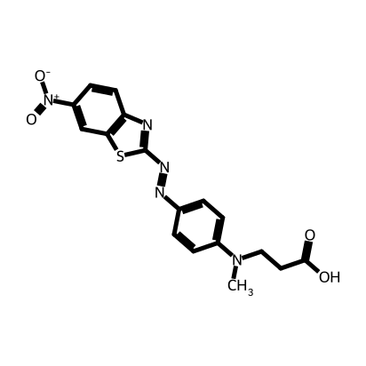 CN(CCC(=O)O)c1ccc(N=Nc2nc3ccc([N+](=O)[O-])cc3s2)cc1